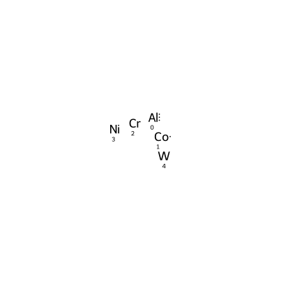 [Al].[Co].[Cr].[Ni].[W]